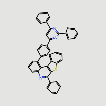 c1ccc(-c2cc(-c3ccc(-c4cccc5nc(-c6ccccc6)c6sc7ccccc7c6c45)cc3)nc(-c3ccccc3)n2)cc1